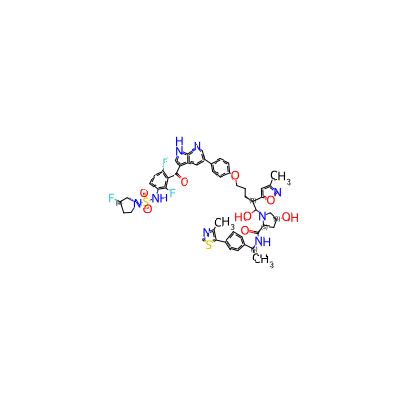 Cc1cc([C@H](CCCOc2ccc(-c3cnc4[nH]cc(C(=O)c5c(F)ccc(NS(=O)(=O)N6CC[C@@H](F)C6)c5F)c4c3)cc2)C(O)N2C[C@H](O)C[C@H]2C(=O)N[C@@H](C)c2ccc(-c3scnc3C)cc2)on1